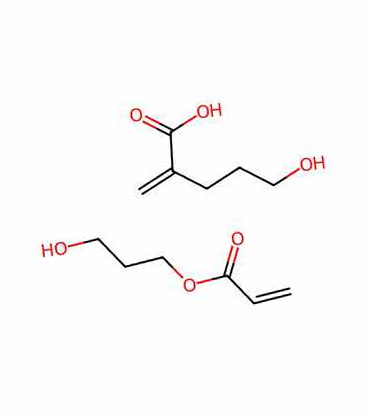 C=C(CCCO)C(=O)O.C=CC(=O)OCCCO